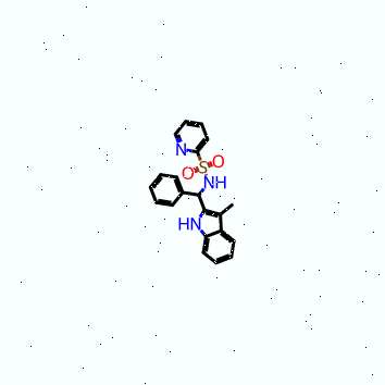 Cc1c(C(NS(=O)(=O)c2ccccn2)c2ccccc2)[nH]c2ccccc12